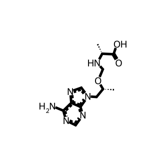 C[C@H](Cn1cnc2c(N)ncnc21)OCN[C@H](C)C(=O)O